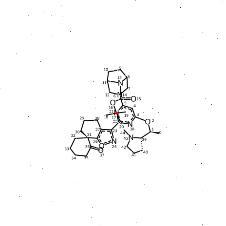 C[C@H](Oc1cc(N2CC3CCC(C2)N3C(=O)OC(C)(C)C)nc(-c2noc3c2CCC[C@@]32CCCCC2=O)n1)[C@@H]1CCCN1C